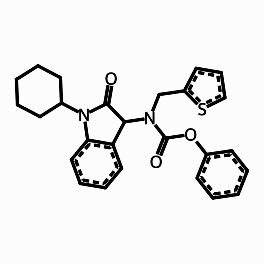 O=C(Oc1ccccc1)N(Cc1cccs1)C1C(=O)N(C2CCCCC2)c2ccccc21